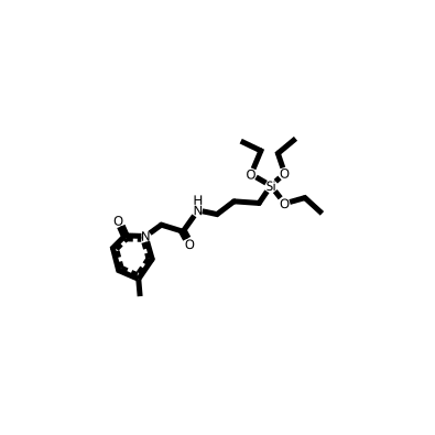 CCO[Si](CCCNC(=O)Cn1cc(C)ccc1=O)(OCC)OCC